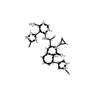 Cc1noc(-c2c(N)ncnc2NC(C)c2cc3cccc(-c4cnn(C)c4)c3c(=O)n2C2CC2)n1